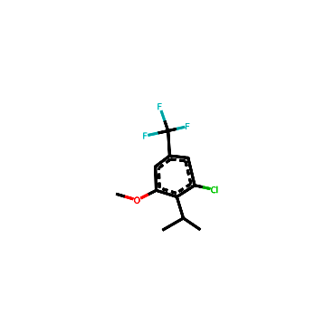 COc1cc(C(F)(F)F)cc(Cl)c1C(C)C